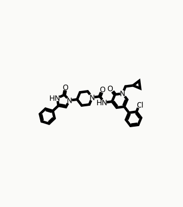 O=C(Nc1cc(-c2ccccc2Cl)cn(CC2CC2)c1=O)N1CCC(n2cc(-c3ccccc3)[nH]c2=O)CC1